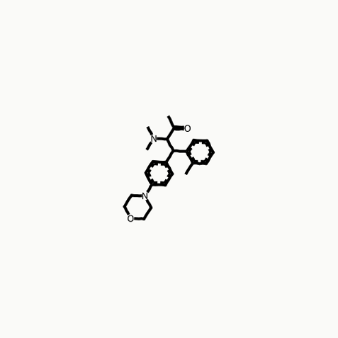 CC(=O)C(C(c1ccc(N2CCOCC2)cc1)c1ccccc1C)N(C)C